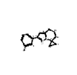 Fc1cccc(-c2cc3n(n2)C2(CCC3)CC2)c1